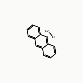 CCO.c1ccc2nc3ccccc3cc2c1